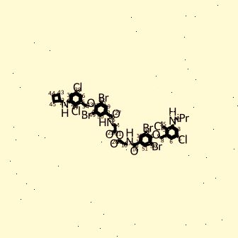 CC(C)Nc1cc(Cl)cc(COc2c(Br)cc(C(=O)NCC(=O)OC(=O)CNC(=O)c3cc(Br)c(OCc4cc(Cl)cc(NC5CCC5)c4Cl)c(Br)c3)cc2Br)c1Cl